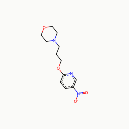 O=[N+]([O-])c1ccc(OCCCN2CCOCC2)nc1